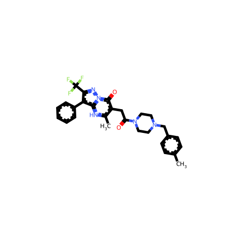 Cc1ccc(CN2CCN(C(=O)Cc3c(C)[nH]c4c(-c5ccccc5)c(C(F)(F)F)nn4c3=O)CC2)cc1